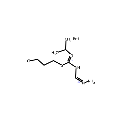 Br.CC(C)/N=C(/N/C=N\N)SCCCCl